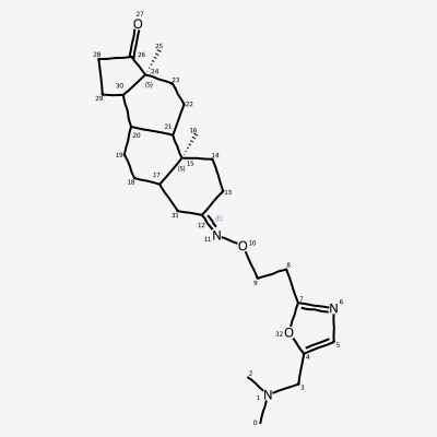 CN(C)Cc1cnc(CCO/N=C2\CC[C@@]3(C)C(CCC4C3CC[C@]3(C)C(=O)CCC43)C2)o1